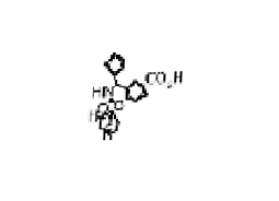 O=C(N[C@@H](c1ccccc1)c1cccc(C(=O)O)c1)O[C@H]1CN2CCC1CC2